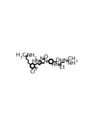 CC[C@@H](CCNC(C)=N)NC(=O)c1ccc(-n2cc3cc(-c4cc(CCC[C@H](C)N)cc(Cl)c4F)[nH]c3nc2=O)cc1